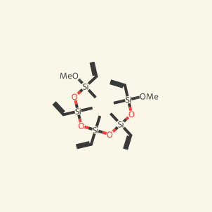 C=C[Si](C)(OC)O[Si](C)(C=C)O[Si](C)(C=C)O[Si](C)(C=C)O[Si](C)(C=C)OC